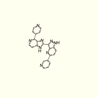 c1cncc(-c2ccc3[nH]nc(-c4nc5c(-c6ccncc6)nccc5[nH]4)c3n2)c1